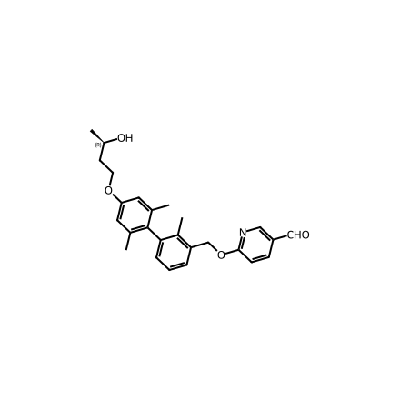 Cc1cc(OCC[C@@H](C)O)cc(C)c1-c1cccc(COc2ccc(C=O)cn2)c1C